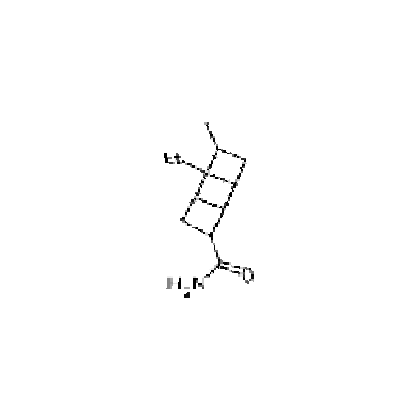 CCC12C(C)C3C1C1C2CC31C(N)=O